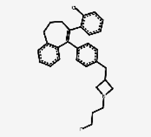 FCCCN1CC(Cc2ccc(C3=C(c4ccccc4Cl)CCCc4ccccc43)cc2)C1